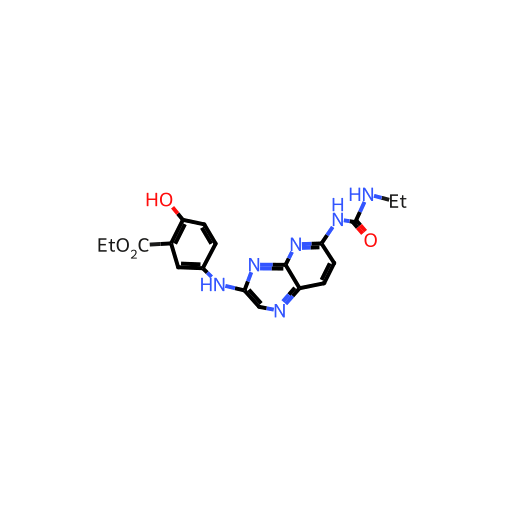 CCNC(=O)Nc1ccc2ncc(Nc3ccc(O)c(C(=O)OCC)c3)nc2n1